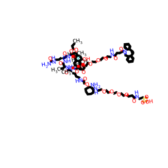 CCCC1O[C@@H]2C[C@H]3[C@@H]4C[C@H](F)C5=CC(=O)C=C[C@]5(C)[C@@]4(F)[C@@H](O)C[C@]3(C)[C@]2(C(=O)CNC(=O)[C@H](CCCNC(N)=O)NC(=O)[C@@H](NC(=O)[C@@H](CCCCNC(=O)COC2CCCCC/C(NCCOCCOCCOCCOCCC(=O)NCCS(=O)(=O)O)=C\2N)NC(=O)CCOCCOCCOCCOCCNC(=O)CCC(=O)N2Cc3ccccc3C#Cc3ccccc32)C(C)C)O1